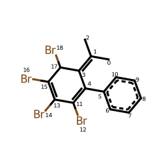 CC(C)=C1C(c2ccccc2)=C(Br)C(Br)=C(Br)C1Br